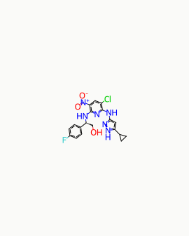 O=[N+]([O-])c1cc(Cl)c(Nc2cc(C3CC3)[nH]n2)nc1N[C@@H](CO)c1ccc(F)cc1